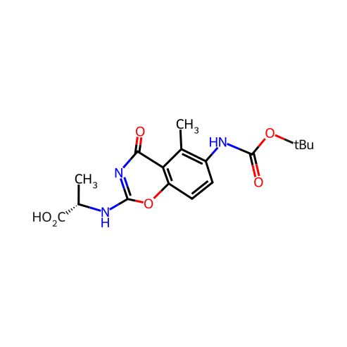 Cc1c(NC(=O)OC(C)(C)C)ccc2oc(N[C@@H](C)C(=O)O)nc(=O)c12